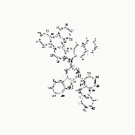 c1ccc2cc3c(cc2c1)c1c2c4ccccc4c4ccccc4c2ccc1n3-c1nc(-c2cccc3c2sc2ccccc23)c2oc3ccccc3c2n1